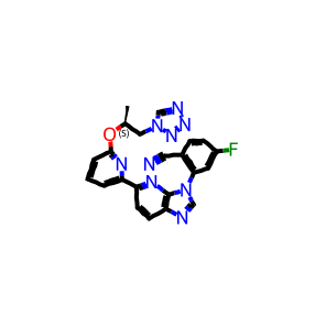 C[C@@H](Cn1cnnn1)Oc1cccc(-c2ccc3ncn(-c4cc(F)ccc4C#N)c3n2)n1